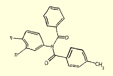 Cc1ccc(C(=O)N(C(=O)c2ccccc2)c2ccc(F)[c]([Ti])c2)cc1